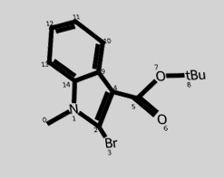 Cn1c(Br)c(C(=O)OC(C)(C)C)c2ccccc21